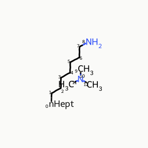 CCCCCCCCCCCCCCN.CN(C)C